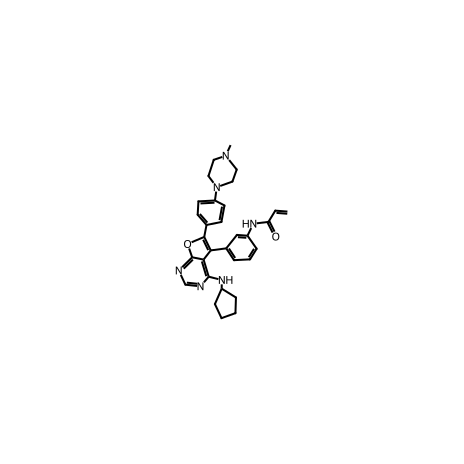 C=CC(=O)Nc1cccc(-c2c(-c3ccc(N4CCN(C)CC4)cc3)oc3ncnc(NC4CCCC4)c23)c1